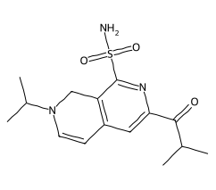 CC(C)C(=O)c1cc2c(c(S(N)(=O)=O)n1)CN(C(C)C)C=C2